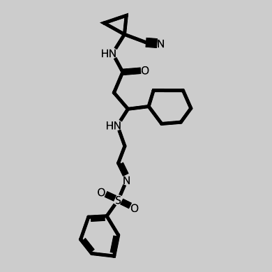 N#CC1(NC(=O)CC(NCC=NS(=O)(=O)c2ccccc2)C2CCCCC2)CC1